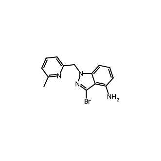 Cc1cccc(Cn2nc(Br)c3c(N)cccc32)n1